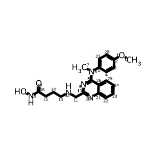 COc1ccc(N(C)c2nc(CNCCCC(=O)NO)nc3ccccc23)cc1